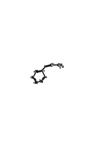 C=C=Cc1cnnnn1